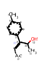 CC(=O)/C=C(/c1ccc(C)cc1)C(C)O